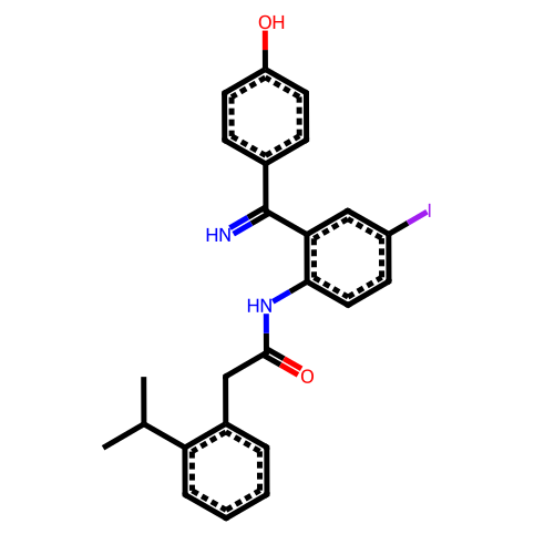 CC(C)c1ccccc1CC(=O)Nc1ccc(I)cc1C(=N)c1ccc(O)cc1